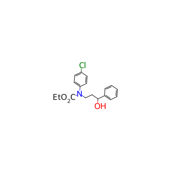 CCOC(=O)N(CCC(O)c1ccccc1)c1ccc(Cl)cc1